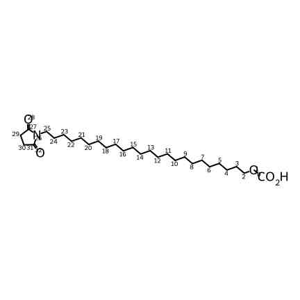 O=C(O)OCCCCCCCCCCCCCCCCCCCCCCCCN1C(=O)CCC1=O